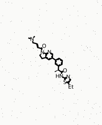 CCc1cnc(NC(=O)[C@@H](C)c2cccc(-c3cnc4c(c3)CCN4C(=O)/C=C/CN(C)C)c2)s1